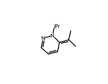 CC(C)=C1C=CC=NN1C(C)C